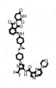 CN(C[C@H]1CC[C@H](n2cc(NC(=O)c3cnn4ccc(N5CCOCC5)nc34)c(C(F)F)n2)CC1)C1CCC(Nc2cccc3c2C(=O)N(C2CCC(=O)NC2=O)C3=O)CC1